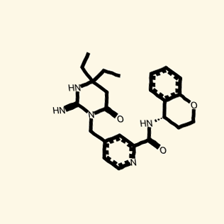 CCC1(CC)CC(=O)N(Cc2ccnc(C(=O)N[C@H]3CCOc4ccccc43)c2)C(=N)N1